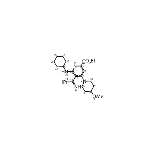 CCOC(=O)c1cc(N2CCC(OC)CC2)c(C(=N)C(C)C)c(NC2CCCCC2)n1